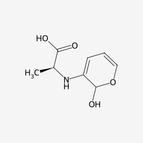 C[C@H](NC1=CC=COC1O)C(=O)O